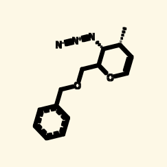 C[C@@H]1C=COC(COCc2ccccc2)[C@@H]1N=[N+]=[N-]